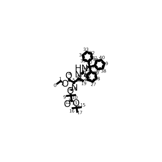 CCOC(=O)/C(=N\OC(C)(C)C(=O)OC(C)(C)C)c1csc(NC(c2ccccc2)(c2ccccc2)c2ccccc2)n1